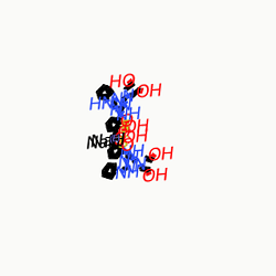 O=S(=O)(O)c1c(/C=C/c2cccc(Nc3nc(Nc4ccccc4)nc(N(CCO)CCO)n3)c2S(=O)(=O)O)cccc1Nc1nc(Nc2ccccc2)nc(N(CCO)CCO)n1.[NaH].[NaH]